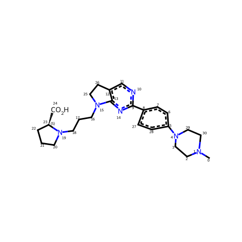 CN1CCN(c2ccc(-c3ncc4c(n3)N(CCCN3CCC[C@H]3C(=O)O)CC4)cc2)CC1